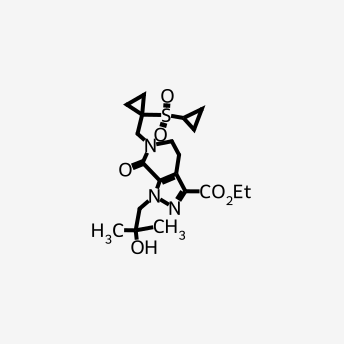 CCOC(=O)c1nn(CC(C)(C)O)c2c1CCN(CC1(S(=O)(=O)C3CC3)CC1)C2=O